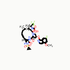 COc1cc(F)cc2c(O[C@@H]3C[C@H]4C(=O)N[C@]5(C(=O)NS(=O)(=O)C6CC6)C[C@H]5C=CCC[C@@H](C)C[C@@H](C)[C@H](N(C(=O)O)[C@H](C)C(F)(F)F)C(=O)N4C3)nccc12